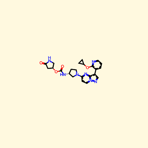 O=C1C[C@H](OC(=O)N[C@@H]2CCN(c3ccn4ncc(-c5cccnc5OC5CC5)c4n3)C2)CN1